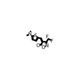 CN(C)c1ccc(C=C2C(=O)ON=C2C(F)F)s1